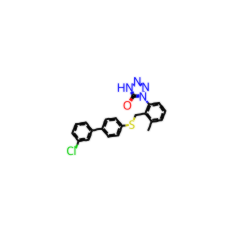 Cc1cccc(-n2nn[nH]c2=O)c1CSc1ccc(-c2cccc(Cl)c2)cc1